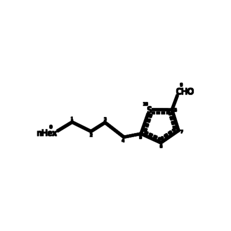 CCCCCCCCCCc1ccc(C=O)s1